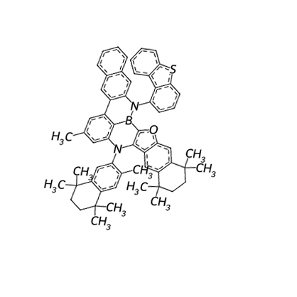 Cc1cc2c3c(c1)N(c1cc4c(cc1C)C(C)(C)CCC4(C)C)c1c(oc4cc5c(cc14)C(C)(C)CCC5(C)C)B3N(c1cccc3sc4ccccc4c13)c1cc3ccccc3cc1-2